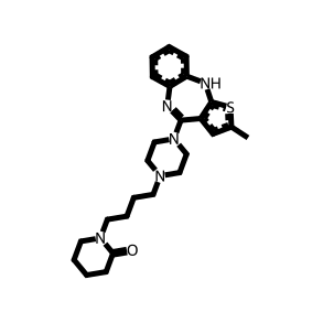 Cc1cc2c(s1)Nc1ccccc1N=C2N1CCN(CCCCN2CCCCC2=O)CC1